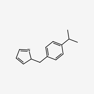 CC(C)c1ccc(CC2C=CC=N2)cc1